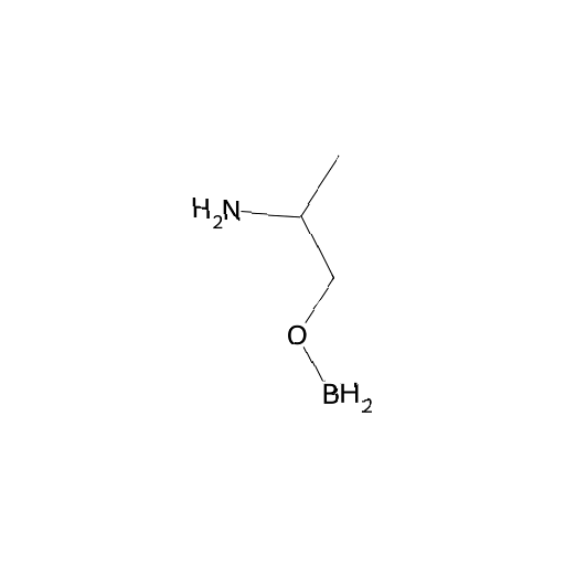 BOCC(C)N